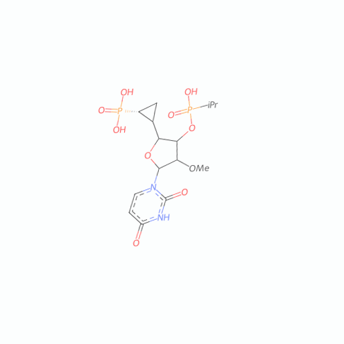 COC1C(OP(=O)(O)C(C)C)C(C2C[C@H]2P(=O)(O)O)OC1n1ccc(=O)[nH]c1=O